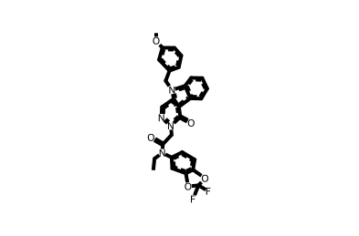 CCN(C(=O)Cn1ncc2c(c1=O)c1ccccc1n2Cc1cccc(OC)c1)c1ccc2c(c1)OC(F)(F)O2